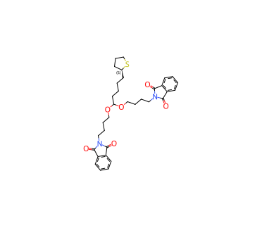 O=C1c2ccccc2C(=O)N1CCCCOC(CCCC[C@H]1CCCS1)OCCCCN1C(=O)c2ccccc2C1=O